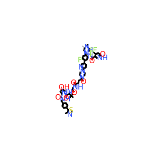 Cc1ncsc1-c1ccc(CNC(=O)[C@@H]2C[C@@H](O)CN2C(=O)C(NC(=O)CNC(=O)CCC(=O)N2CCN(c3ccc(-c4cc(NC(=O)c5c[nH]c(=O)cc5C(F)(F)F)c(N5C[C@@H](C)N(C)[C@@H](C)C5)cc4F)cn3)CC2)C(C)(C)C)cc1